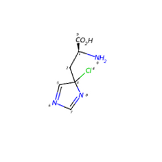 N[C@@H](CC1(Cl)C=NC=N1)C(=O)O